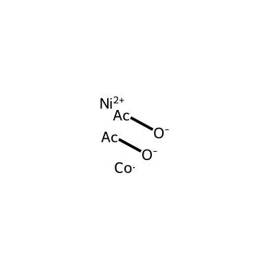 CC(=O)[O-].CC(=O)[O-].[Co].[Ni+2]